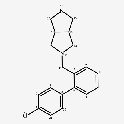 Clc1ccc(-c2ccccc2CN2CC3C[N]CC3C2)cc1